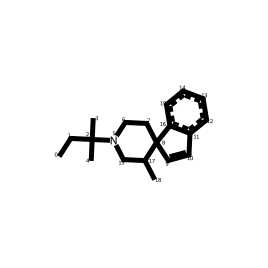 CCC(C)(C)N1CCC2(C=Cc3ccccc32)C(C)C1